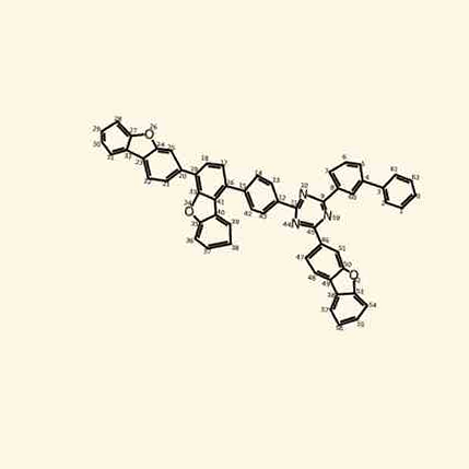 c1ccc(-c2cccc(-c3nc(-c4ccc(-c5ccc(-c6ccc7c(c6)oc6ccccc67)c6oc7ccccc7c56)cc4)nc(-c4ccc5c(c4)oc4ccccc45)n3)c2)cc1